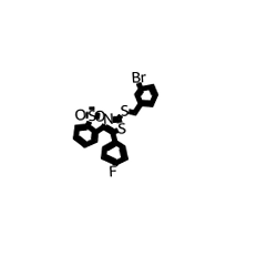 CS(=O)(=O)c1ccccc1-c1nc(SCc2cccc(Br)c2)sc1-c1ccc(F)cc1